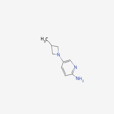 CC1CN(c2ccc(N)nc2)C1